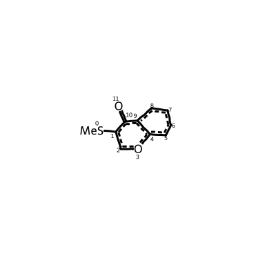 CSc1coc2ccccc2c1=O